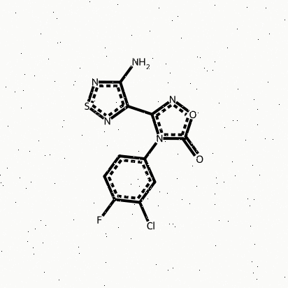 Nc1nsnc1-c1noc(=O)n1-c1ccc(F)c(Cl)c1